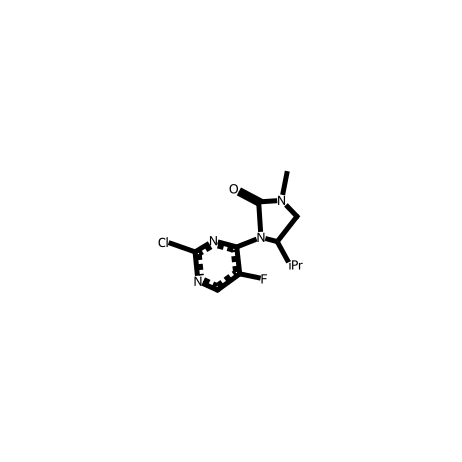 CC(C)C1CN(C)C(=O)N1c1nc(Cl)ncc1F